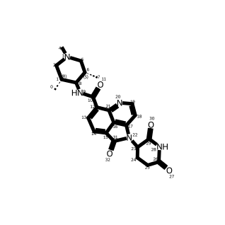 C[C@@H]1CN(C)C[C@H](C)C1NC(=O)c1ccc2c3c(ccnc13)N(C1CCC(=O)NC1=O)C2=O